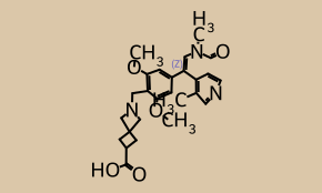 COc1cc(/C(=C/N(C)C=O)c2ccncc2C)cc(OC)c1CN1CC2(CC(C(=O)O)C2)C1